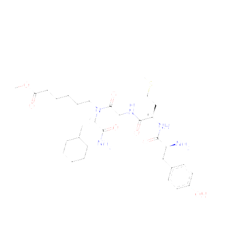 COC(=O)CCCCCN(C(=O)CNC(=O)[C@@H](CCSC)NC(=O)[C@@H](N)Cc1ccc(O)cc1)[C@@H](CC1CCCCC1)C(N)=O